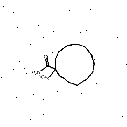 CCCCCCCCCCC1(C(N)=O)CCCCCCCCCCCC1